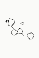 C1=C(c2cccc3c2ccn3Cc2ccccc2)CNCC1.Cl